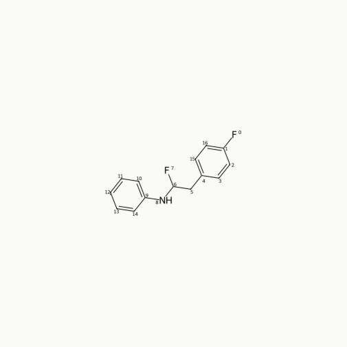 Fc1ccc(CC(F)Nc2cc[c]cc2)cc1